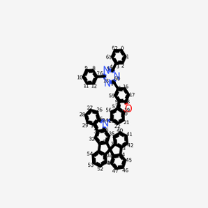 c1ccc(-c2nc(-c3ccccc3)nc(-c3ccc4oc5ccc(-n6c7ccccc7c7cc8c(cc76)C6(c7ccccc7-c7ccccc76)c6ccccc6-8)cc5c4c3)n2)cc1